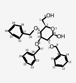 OC[C@H]1O[C@@H](O)[C@H](OCc2ccccc2)[C@@H](OCc2ccccc2)[C@@H]1OCc1ccccc1